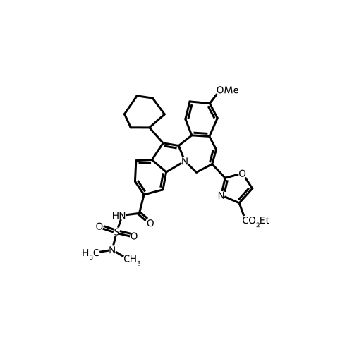 CCOC(=O)c1coc(C2=Cc3cc(OC)ccc3-c3c(C4CCCCC4)c4ccc(C(=O)NS(=O)(=O)N(C)C)cc4n3C2)n1